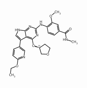 CCOc1ccc(-c2c[nH]c3nc(Nc4ccc(C(=O)NC)cc4OC)nc(O[C@H]4CCOC4)c23)cn1